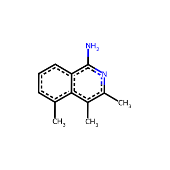 Cc1nc(N)c2cccc(C)c2c1C